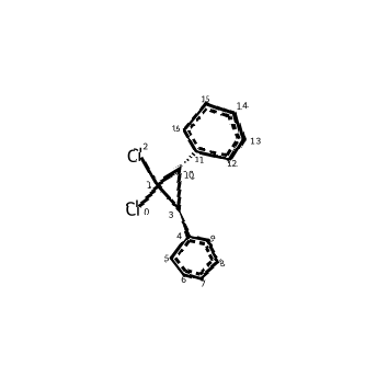 ClC1(Cl)[C@H](c2ccccc2)[C@H]1c1ccccc1